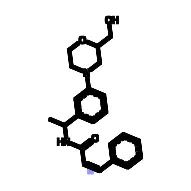 CC(NC(=O)/C=C\c1ccccc1)c1cccc(N2CCOC(CO)C2)c1